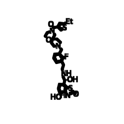 CCc1cc(C(=O)N2CCOC3(CCN(Cc4cccc(CCNC[C@H](O)c5ccc(O)c6[nH]c(=O)sc56)c4F)CC3)C2)cs1